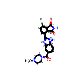 CN1CCN(C(=O)c2ccc3[nH]c(-c4ccc(Cl)c5c4C(=O)NC5=O)nc3c2)CC1